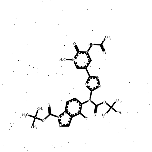 CC(=O)Nc1cc(-c2nnc(N(C(=O)OC(C)(C)C)c3ccc4c(cnn4C(=O)OC(C)(C)C)c3Cl)s2)cn(C)c1=O